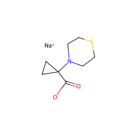 O=C([O-])C1(N2CCSCC2)CC1.[Na+]